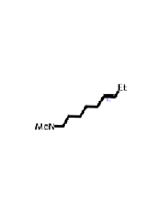 CC/C=C/CCCCCNC